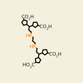 O=C(O)C1CCC(C(CCPCCCPCCC(C2CCC(C(=O)O)C2)C2CCC(C(=O)O)C2)C2CCC(C(=O)O)C2)C1